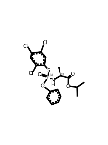 CC(C)OC(=O)[C@H](C)N[P@](=O)(Oc1ccccc1)Sc1cc(Cl)c(Cl)cc1Cl